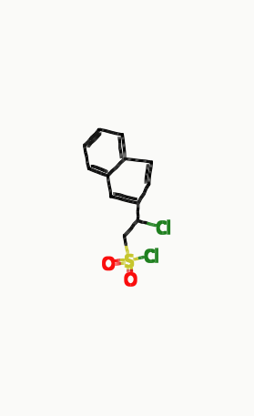 O=S(=O)(Cl)CC(Cl)c1ccc2ccccc2c1